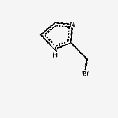 BrCc1ncc[nH]1